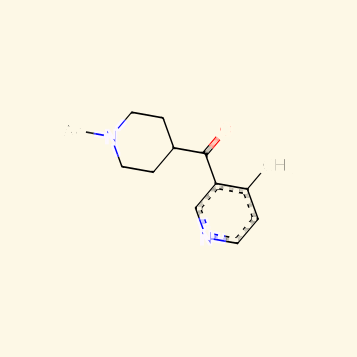 CC(=O)N1CCC(C(=O)c2cnccc2C)CC1